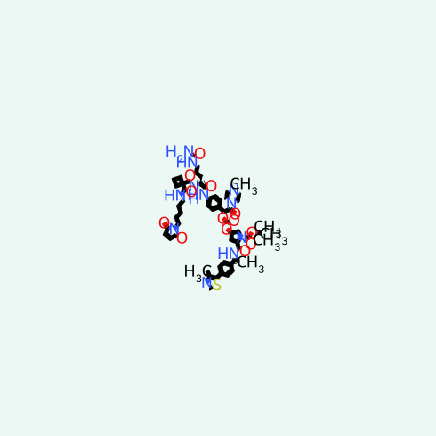 Cc1ncsc1-c1ccc([C@H](C)NC(=O)C2CC(OC(=O)OC(C(=O)N3CCN(C)CC3)c3ccc(NC(=O)[C@H](CCCNC(N)=O)NC(=O)C4(C(=O)NCCCCCN5C(=O)C=CC5=O)CCC4)cc3)CN2C(=O)OC(C)(C)C)cc1